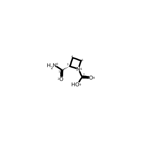 NC(=O)[C@@H]1CCN1C(=O)O